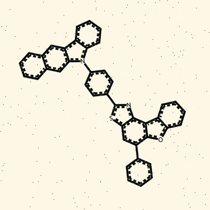 c1ccc(-c2cc3sc(-c4ccc(-n5c6ccccc6c6cc7ccccc7cc65)cc4)nc3c3c2oc2ccccc23)cc1